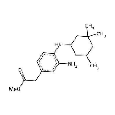 COC(=O)Cc1ccc(NC2CC(C)CC(C)(C)C2)c(N)c1